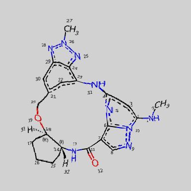 CNc1cc2nc3c(cnn13)C(=O)N[C@@H]1CCC[C@H]1OCc1cc(c3nn(C)nc3c1)N2